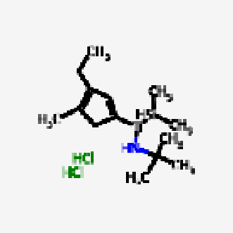 CCC1=C(C)C[C]([Ti]([NH]C(C)(C)C)[SiH](C)C)=C1.Cl.Cl